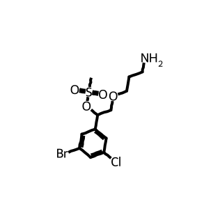 CS(=O)(=O)OC(COCCCN)c1cc(Cl)cc(Br)c1